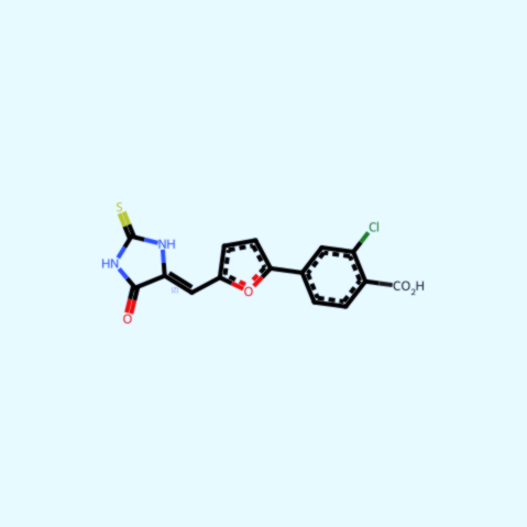 O=C1NC(=S)N/C1=C\c1ccc(-c2ccc(C(=O)O)c(Cl)c2)o1